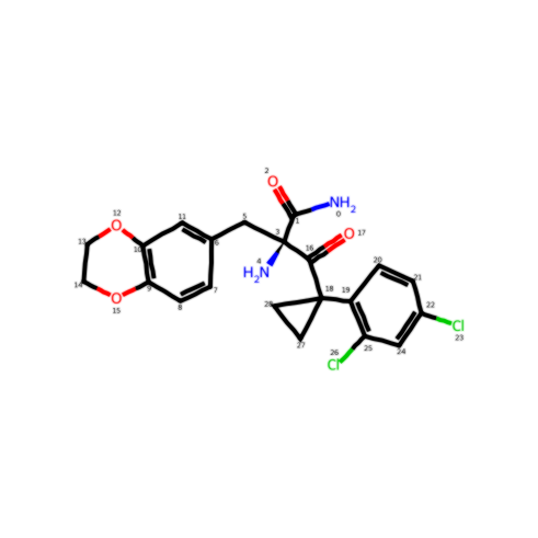 NC(=O)[C@@](N)(Cc1ccc2c(c1)OCCO2)C(=O)C1(c2ccc(Cl)cc2Cl)CC1